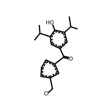 CC(C)c1cc(C(=O)c2cccc(CCl)c2)cc(C(C)C)c1O